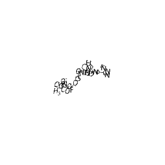 C[C@H](N=[P+]([O-])Oc1ccccc1)C(=O)O[C@H](F)c1ccc2sc(C(=O)N[C@H]3CCC[C@H]4CC[C@@H](C(=O)N5CC(c6cncnc6N6CCC6)C5)N4C3=O)cc2c1